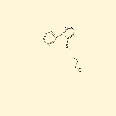 ClCCCCSc1nsnc1-c1cccnc1